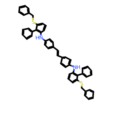 C(=C\c1ccc(Nc2cccc(SCc3ccccc3)c2-c2ccccc2)cc1)/c1ccc(Nc2cccc(SCc3ccccc3)c2-c2ccccc2)cc1